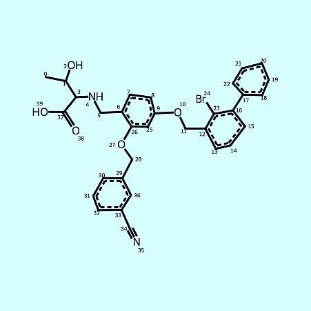 CC(O)C(NCc1ccc(OCc2cccc(-c3ccccc3)c2Br)cc1OCc1cccc(C#N)c1)C(=O)O